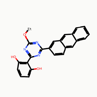 CCOc1nc(-c2ccc3cc4ccccc4cc3c2)nc(-c2c(O)cccc2O)n1